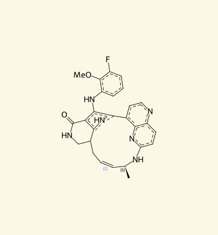 COc1c(F)cccc1Nc1c2[nH]c3c1C(=O)NCC3C/C=C\[C@H](C)Nc1ccc3nccc-2c3n1